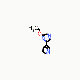 CCOc1cncc(C2CN3CCC2C3)n1